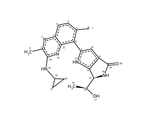 Cc1nc2ccc(F)c(-c3cc4c([nH]3)[C@H]([C@H](C)O)NC4=O)c2nc1NC1CC1